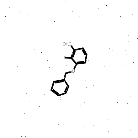 O=Cc1cccc(OCc2ccccc2)c1I